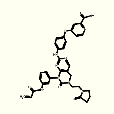 C=CC(=O)Nc1cccc(N2C(=O)N(CCN3CCCC3=O)Cc3cnc(Nc4ccc(Oc5ccnc(C(=O)CCC)c5)cc4)nc32)c1